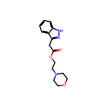 O=C(Cc1n[nH]c2ccccc12)OCCN1CCOCC1